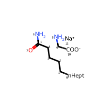 CCCCCCCCCCCC(N)=O.NCC(=O)[O-].[Na+]